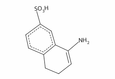 NC1=CCCc2ccc(S(=O)(=O)O)cc21